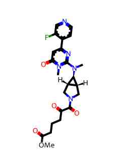 COC(=O)CCCC(=O)C(=O)N1C[C@@H]2[C@H](C1)[C@H]2N(C)c1nc(-c2ccncc2F)cc(=O)n1C